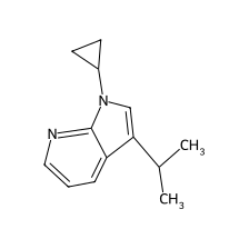 CC(C)c1cn(C2CC2)c2ncccc12